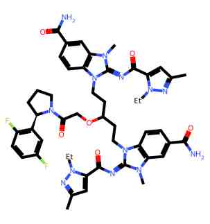 CCn1nc(C)cc1C(=O)N=c1n(C)c2cc(C(N)=O)ccc2n1CCC(CCn1c(=NC(=O)c2cc(C)nn2CC)n(C)c2cc(C(N)=O)ccc21)OCC(=O)N1CCC[C@@H]1c1cc(F)ccc1F